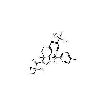 O=C(N1CC[C@@]2(S(=O)(=O)c3ccc(I)cc3)c3ccc(C(F)(C(F)(F)F)C(F)(F)F)cc3CC[C@@H]12)C1(C(F)(F)F)CCC1